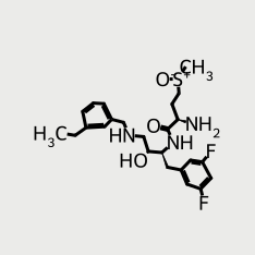 CCc1cccc(CNC[C@@H](O)[C@H](Cc2cc(F)cc(F)c2)NC(=O)[C@H](N)CC[S+](C)[O-])c1